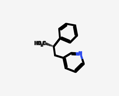 O=C(O)[C@@H](Cc1cccnc1)c1ccccc1